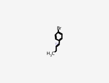 CC/C=C/c1ccc(Br)cc1